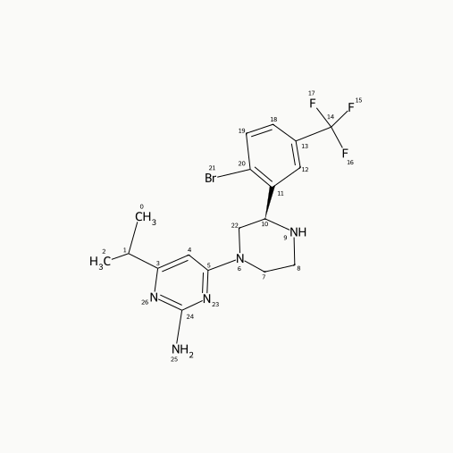 CC(C)c1cc(N2CCN[C@H](c3cc(C(F)(F)F)ccc3Br)C2)nc(N)n1